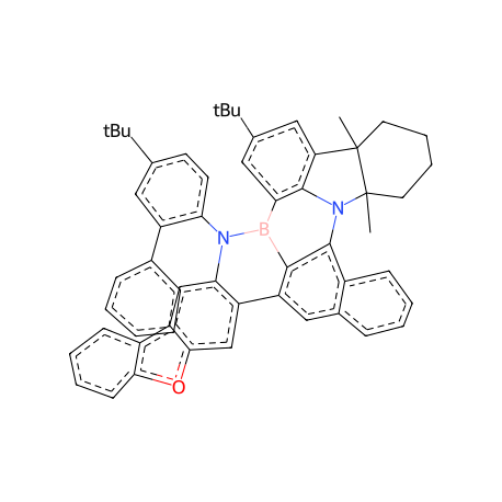 CC(C)(C)c1ccc(N2B3c4cc(C(C)(C)C)cc5c4N(c4c3c(cc3ccccc43)-c3cc4oc6ccccc6c4cc32)C2(C)CCCCC52C)c(-c2ccccc2)c1